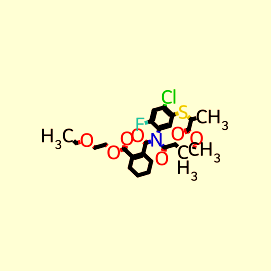 CCOCCOC(=O)C1=C(C(=O)N(C(=O)CC)c2cc(SC(C)C(=O)OC)c(Cl)cc2F)CCCC1